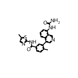 Cc1cnc(NC(=O)c2ccc(C)c(-c3cncc4c(NC(N)=O)cccc34)c2)s1